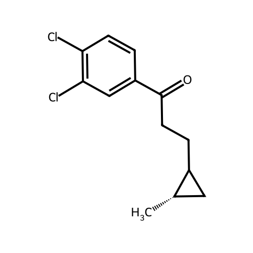 C[C@H]1CC1CCC(=O)c1ccc(Cl)c(Cl)c1